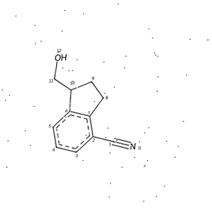 N#Cc1cccc2c1CCC2CO